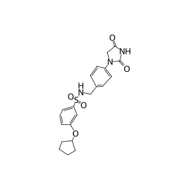 O=C1CN(c2ccc(CNS(=O)(=O)c3cccc(OC4CCCC4)c3)cc2)C(=O)N1